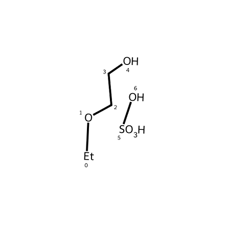 CCOCCO.O=S(=O)(O)O